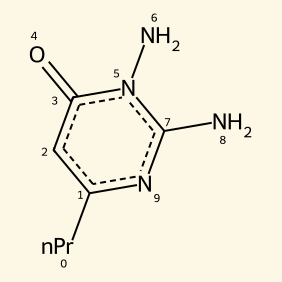 CCCc1cc(=O)n(N)c(N)n1